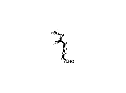 CCCCOC(=O)C=C=C=CC=O